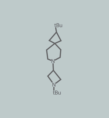 CC(C)(C)C1CC2(CCN(C3CN(C(C)(C)C)C3)CC2)C1